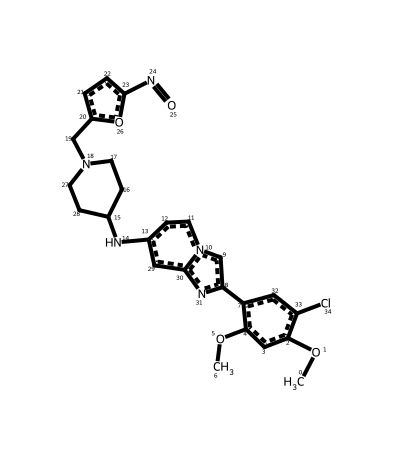 COc1cc(OC)c(-c2cn3ccc(NC4CCN(Cc5ccc(N=O)o5)CC4)cc3n2)cc1Cl